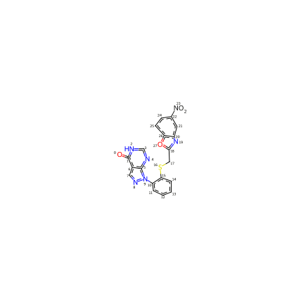 O=c1[nH]cnc2c1cnn2-c1ccccc1SCc1nc2cc([N+](=O)[O-])ccc2o1